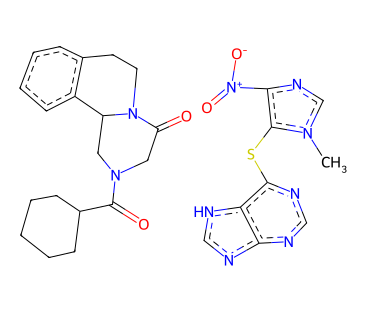 Cn1cnc([N+](=O)[O-])c1Sc1ncnc2nc[nH]c12.O=C(C1CCCCC1)N1CC(=O)N2CCc3ccccc3C2C1